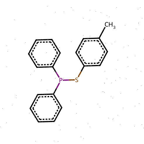 Cc1ccc(SP(c2ccccc2)c2ccccc2)cc1